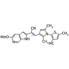 COc1cc2cc(/C(C#N)=C/c3cc(C)n(-c4sc(C)cc4C#N)c3C)[nH]c2cn1